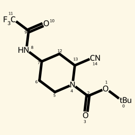 CC(C)(C)OC(=O)N1CCC(NC(=O)C(F)(F)F)CC1C#N